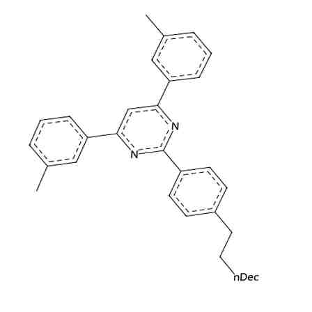 CCCCCCCCCCCCc1ccc(-c2nc(-c3cccc(C)c3)cc(-c3cccc(C)c3)n2)cc1